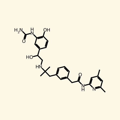 Cc1cc(C)nc(NC(=O)Cc2cccc(CC(C)(C)NCC(O)c3ccc(O)c(NC(N)=O)c3)c2)c1